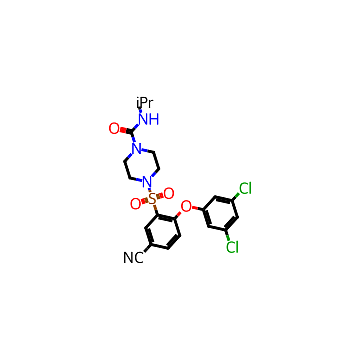 CC(C)NC(=O)N1CCN(S(=O)(=O)c2cc(C#N)ccc2Oc2cc(Cl)cc(Cl)c2)CC1